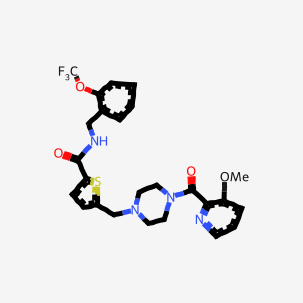 COc1cccnc1C(=O)N1CCN(Cc2ccc(C(=O)NCc3ccccc3OC(F)(F)F)s2)CC1